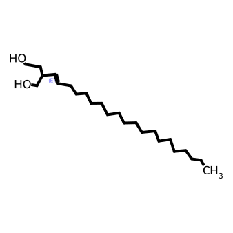 CCCCCCCCCCCCCCCCCC/C=C/C(CO)CCO